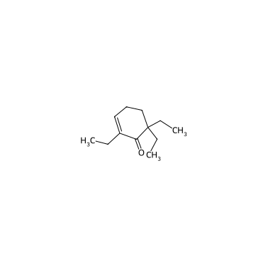 CCC1=CCCC(CC)(CC)C1=O